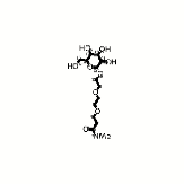 CNC(=O)CCOCCOCCO[C@@H]1OC(CO)C(O)C(O)C1O